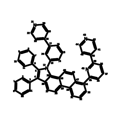 c1ccc(-c2c(-c3ccccc3)n(-c3cccc(-c4ccncc4)c3)c3c2ccc2c4cccc(-c5cccc(-c6ccncc6)n5)c4ccc23)cc1